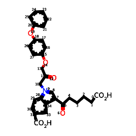 O=C(O)CCCCC(=O)c1cn(CC(=O)COc2ccc(Oc3ccccc3)cc2)c2ccc(C(=O)O)cc12